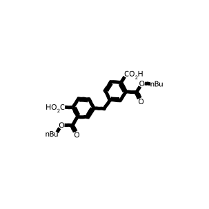 CCCCOC(=O)c1cc(Cc2ccc(C(=O)O)c(C(=O)OCCCC)c2)ccc1C(=O)O